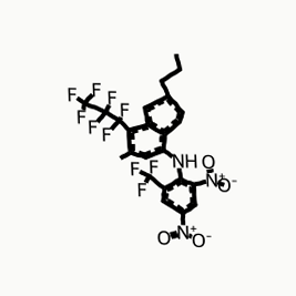 CCCc1ccc2c(Nc3c([N+](=O)[O-])cc([N+](=O)[O-])cc3C(F)(F)F)cc(C)c(C(F)(F)C(F)(F)C(F)(F)F)c2c1